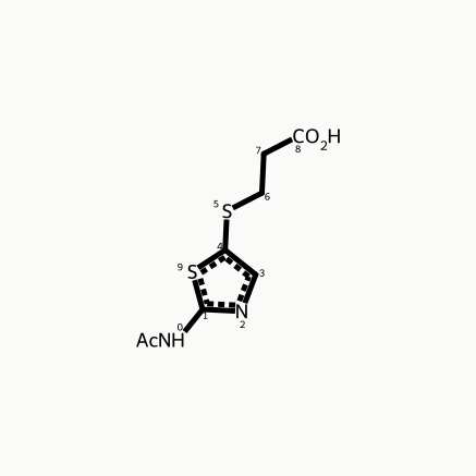 CC(=O)Nc1ncc(SCCC(=O)O)s1